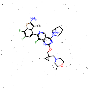 C[C@H]1CN(CC2(COc3nc(N4CC5CCC(C4)N5)c4cnc(C5=CC(F)=C(F)C6SC(N)=C(C#N)C56)c(F)c4n3)CC2)CCO1